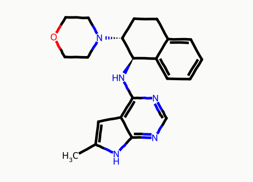 Cc1cc2c(N[C@@H]3c4ccccc4CC[C@H]3N3CCOCC3)ncnc2[nH]1